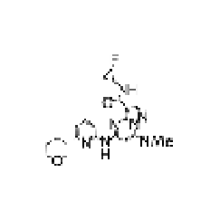 CNc1cc(Nc2cccc([C@H]3CCCOC3)n2)nc2c(C(=O)N[C@H]3C[C@H]3F)cnn12